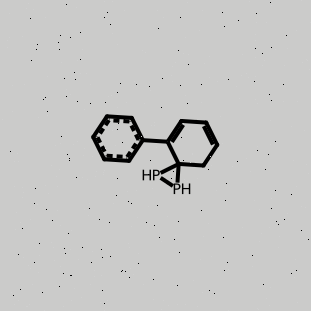 C1=CCC2(PP2)C(c2ccccc2)=C1